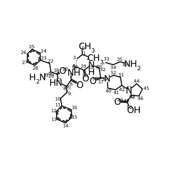 CC(C)C[C@@H](NC(=O)[C@@H](CCc1ccccc1)NC(=O)[C@H](N)Cc1ccccc1)C(=O)N[C@H](CCCN)C(=O)N1CCC(N2CCC[C@H]2C(=O)O)CC1